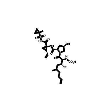 C=CCCC(C)C[C@@H](CC)[C@H](NC(=O)O)C(=O)N1C[C@H](O)C[C@H]1C(=O)N[C@]1(C(=O)NS(=O)(=O)C2(C)CC2)C[C@H]1C=C